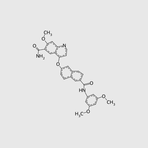 COc1cc(NC(=O)c2ccc3cc(Oc4ccnc5cc(OC)c(C(N)=O)cc45)ccc3c2)cc(OC)c1